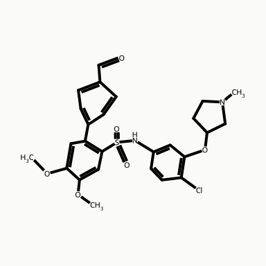 COc1cc(-c2ccc(C=O)cc2)c(S(=O)(=O)Nc2ccc(Cl)c(OC3CCN(C)C3)c2)cc1OC